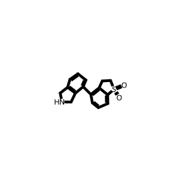 O=S1(=O)CCc2c(-c3cccc4c3CNC4)cccc21